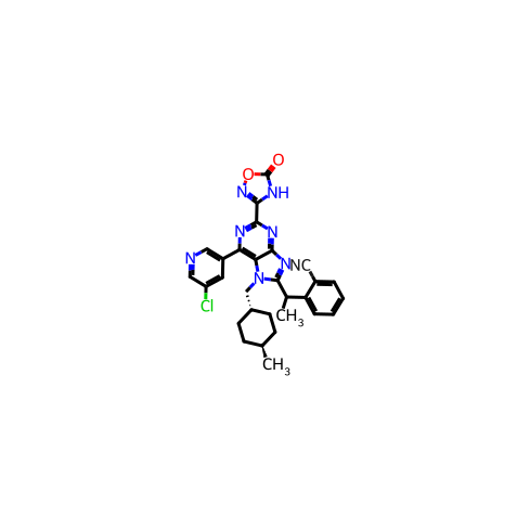 CC(c1ccccc1C#N)c1nc2nc(-c3noc(=O)[nH]3)nc(-c3cncc(Cl)c3)c2n1C[C@H]1CC[C@H](C)CC1